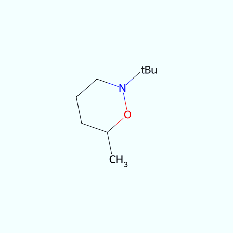 CC1CCCN(C(C)(C)C)O1